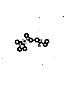 Brc1c(-c2cccc3ccccc23)sc2ccc(-c3ccc4c(c3)c3ccccc3n4-c3nc(-c4ccccc4)c4c(n3)c3ccccc3n4-c3ccccc3)cc12